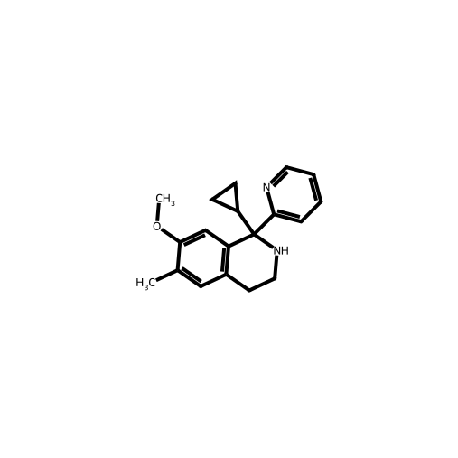 COc1cc2c(cc1C)CCNC2(c1ccccn1)C1CC1